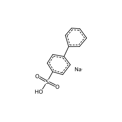 O=S(=O)(O)c1ccc(-c2ccccc2)cc1.[Na]